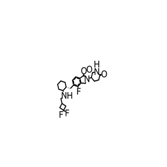 O=C1CCC(N2Cc3c(ccc(C[C@H]4CCCC[C@@H]4NCC4CC(F)(F)C4)c3F)C2=O)C(=O)N1